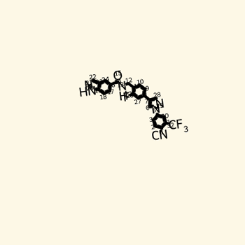 N#Cc1ccc(-n2cc(-c3ccc(CNC(=O)c4ccc5[nH]ncc5c4)c(F)c3)cn2)cc1C(F)(F)F